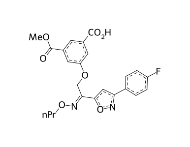 CCCO/N=C(\COc1cc(C(=O)O)cc(C(=O)OC)c1)c1cc(-c2ccc(F)cc2)no1